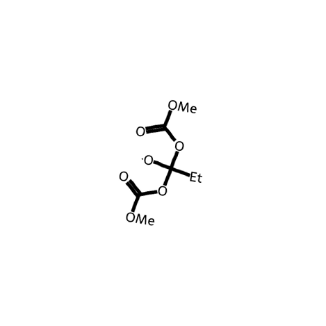 CCC([O])(OC(=O)OC)OC(=O)OC